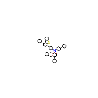 c1ccc(-c2ccc(N(c3ccc(-c4ccc(-c5ccccc5)c5c4sc4ccccc45)cc3)c3ccc(-c4ccccc4)c4c3C3c5ccccc5C4c4ccccc43)cc2)cc1